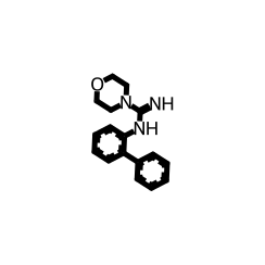 N=C(Nc1ccccc1-c1ccccc1)N1CCOCC1